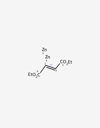 CCOC(=O)/C=C/C(=O)OCC.[Zn].[Zn]